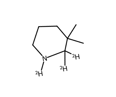 [2H]N1CCCC(C)(C)C1([2H])[2H]